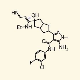 CCN/C(=C\C=N)C1(O)CC2CC(c3nn(C)c(N)c3C(=O)Nc3ccc(F)c(Cl)c3)CC2C1